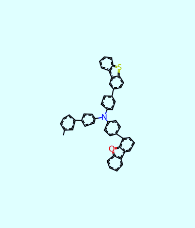 Cc1cccc(-c2ccc(N(c3ccc(-c4ccc5sc6ccccc6c5c4)cc3)c3ccc(-c4cccc5c4oc4ccccc45)cc3)cc2)c1